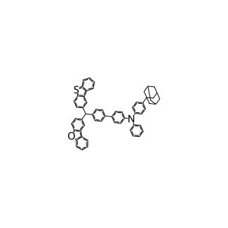 c1ccc(N(c2ccc(-c3ccc(C(c4ccc5oc6ccccc6c5c4)c4ccc5sc6ccccc6c5c4)cc3)cc2)c2ccc(C34CC5CC(CC(C5)C3)C4)cc2)cc1